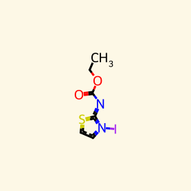 CCOC(=O)/N=c1\sccn1I